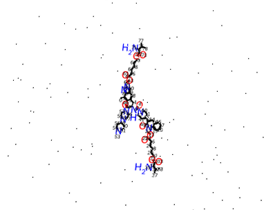 Cc1cc(C[C@@H](NC(=O)N2CCC(c3cc4ccccc4n(COC(=O)CCCCCOC(=O)[C@H](N)C(C)C)c3=O)CC2)C(=O)N2CCN(C3CCN(C)CC3)CC2)cc2cn(COC(=O)CCCCCOC(=O)[C@H](N)C(C)C)nc12